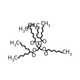 CCCCCCCC(=O)OCC(COC(=O)CCCCCN(C)C)(COC(=O)C(CCCCCC)CCCCCC)COC(=O)C(CCCCCC)CCCCCC